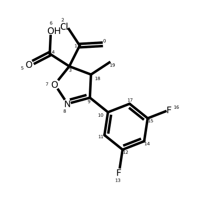 C=C(Cl)C1(C(=O)O)ON=C(c2cc(F)cc(F)c2)C1C